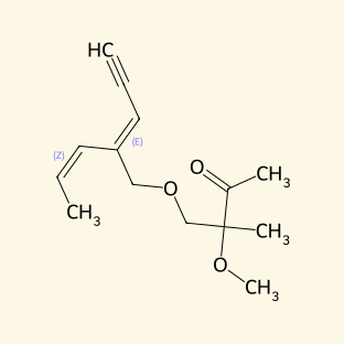 C#C/C=C(\C=C/C)COCC(C)(OC)C(C)=O